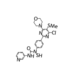 CSc1c(Cl)nc(-c2ccc(N(S)C(=O)Nc3cccnc3)cc2)nc1N1CCOCC1